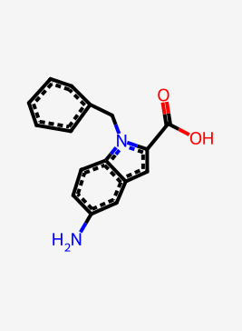 Nc1ccc2c(c1)cc(C(=O)O)n2Cc1ccccc1